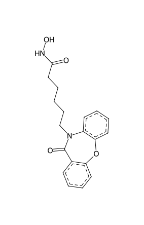 O=C(CCCCCN1C(=O)c2ccccc2Oc2ccccc21)NO